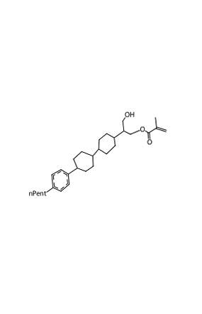 C=C(C)C(=O)OCC(CO)C1CCC(C2CCC(c3ccc(CCCCC)cc3)CC2)CC1